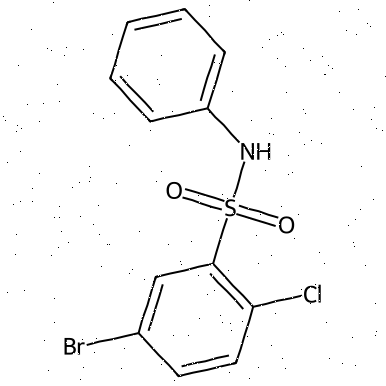 O=S(=O)(Nc1ccccc1)c1cc(Br)ccc1Cl